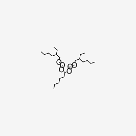 CCCCCC(OOOCC(CC)CCCC)OOOCC(CC)CCCC